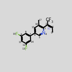 C/C=C(\c1ncc(-c2cc(F)cc(F)c2)cc1C)C(F)(F)F